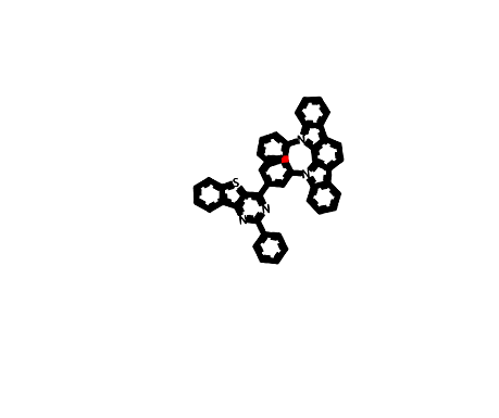 c1ccc(-c2nc(-c3cccc(-n4c5ccccc5c5ccc6c7ccccc7n(-c7ccccc7)c6c54)c3)c3sc4ccccc4c3n2)cc1